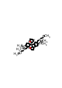 COCCN(Cc1ccc(F)[c]([Ti]([C]2=CC=CC2)([C]2=CC=CC2)[c]2c(F)ccc(CN(CCOC)[Si](C)(C)C)c2F)c1F)[Si](C)(C)C